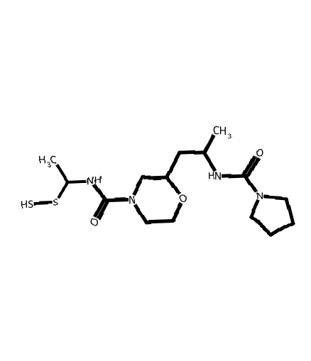 CC(CC1CN(C(=O)NC(C)SS)CCO1)NC(=O)N1CCCC1